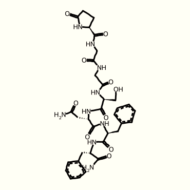 NC(=O)C[C@H](NC(=O)[C@H](CO)NC(=O)CNC(=O)CNC(=O)[C@@H]1CCC(=O)N1)C(=O)N[C@@H](Cc1ccccc1)C(=O)N[C@@H](Cc1ccccc1)C(N)=O